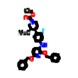 CO[C@@H]1CN(C(=O)OC(C)(C)C)CC[C@H]1c1ccc(Nc2ccc(OCc3ccccc3)nc2OCc2ccccc2)cc1F